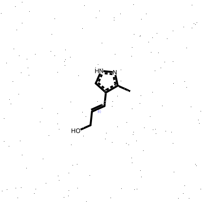 Cc1n[nH]cc1/C=C/CO